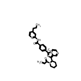 C=CC(=O)N1CCCCC1C1=C2C=NC=C[N+]2(C)C(c2ccc(C(=O)Nc3cc(CCC)ccn3)cc2)=N1